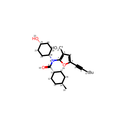 CC(C)(C)C#Cc1cc(C(=O)O)c(N(C(=O)[C@H]2CC[C@H](C)CC2)[C@H]2CC[C@@H](O)CC2)o1